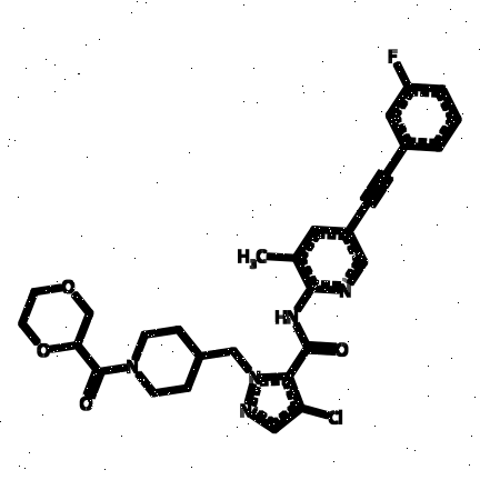 Cc1cc(C#Cc2cccc(F)c2)cnc1NC(=O)c1c(Cl)cnn1CC1CCN(C(=O)C2COCCO2)CC1